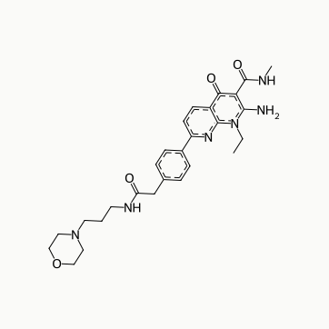 CCn1c(N)c(C(=O)NC)c(=O)c2ccc(-c3ccc(CC(=O)NCCCN4CCOCC4)cc3)nc21